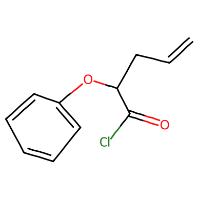 C=CCC(Oc1ccccc1)C(=O)Cl